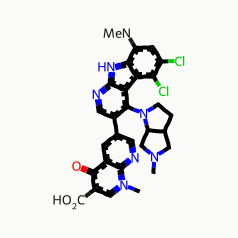 CNc1cc(Cl)c(Cl)c2c1[nH]c1ncc(-c3cnc4c(c3)c(=O)c(C(=O)O)cn4C)c(N3CCC4CN(C)CC43)c12